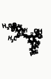 COc1cc(S(C)(=O)=O)ccc1NCC#Cc1cc(C(=O)O)c2ncn(CC(F)F)c2c1